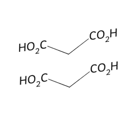 O=C(O)CC(=O)O.O=C(O)CC(=O)O